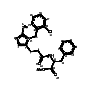 CCCCc1ncc(CCC(=O)N[C@@H](Cc2ccccc2)C(=O)OC)n1Cc1ccccc1Cl